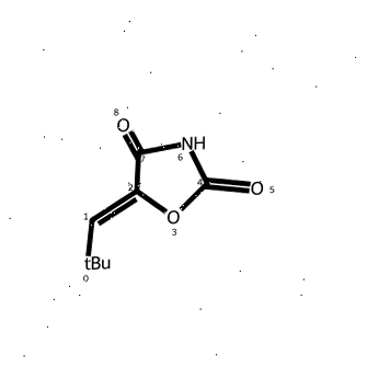 CC(C)(C)/C=C1\OC(=O)NC1=O